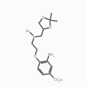 CC(C)N(CCOc1ccc(C(=O)O)cc1N)CC1COC(C)(C)O1